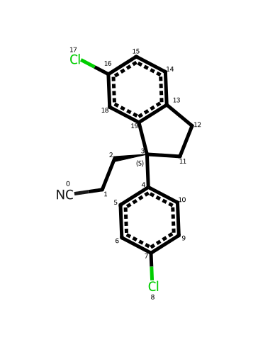 N#CCC[C@]1(c2ccc(Cl)cc2)CCc2ccc(Cl)cc21